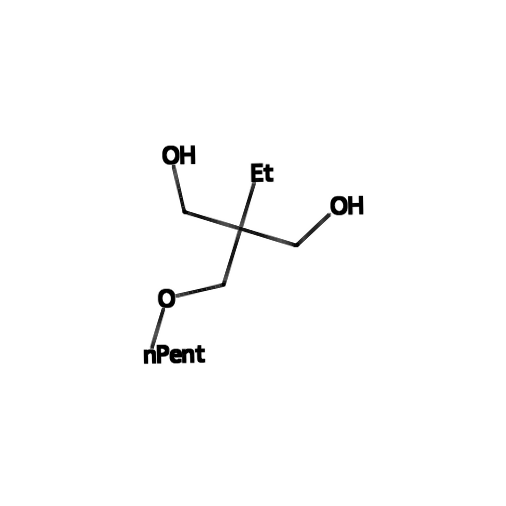 CCCCCOCC(CC)(CO)CO